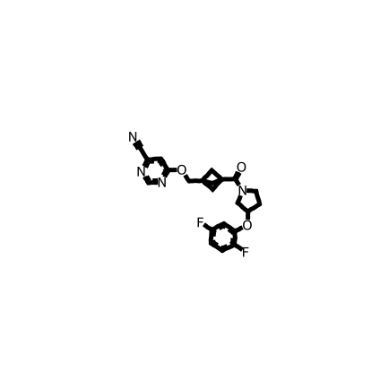 N#Cc1cc(OCC23CC(C(=O)N4CCC(Oc5cc(F)ccc5F)C4)(C2)C3)ncn1